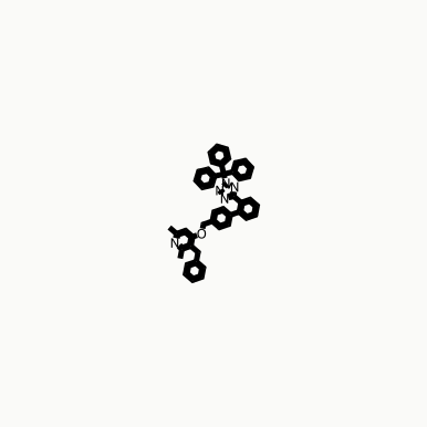 Cc1cc(OCc2ccc(-c3ccccc3-c3nnn(C(c4ccccc4)(c4ccccc4)c4ccccc4)n3)cc2)c(Cc2ccccc2)c(C)n1